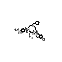 C[C@@H]1[C@@H](C)CN(S(=O)(=O)c2ccc(N(C)C)cc2)CCCN(CC2CCCCC2)CCCN1S(=O)(=O)N1CCc2cc(Cl)ccc2C1